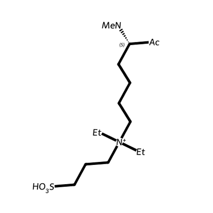 CC[N+](CC)(CCCC[C@H](NC)C(C)=O)CCCS(=O)(=O)O